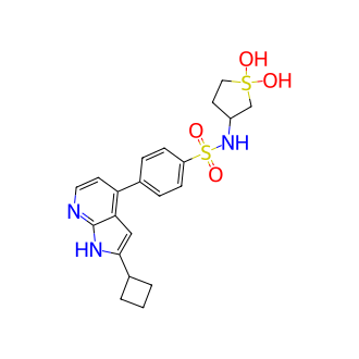 O=S(=O)(NC1CCS(O)(O)C1)c1ccc(-c2ccnc3[nH]c(C4CCC4)cc23)cc1